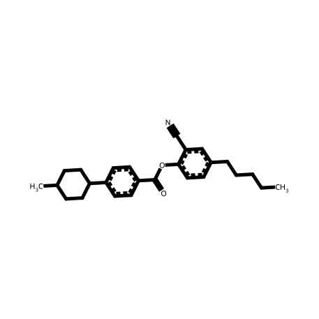 CCCCCc1ccc(OC(=O)c2ccc(C3CCC(C)CC3)cc2)c(C#N)c1